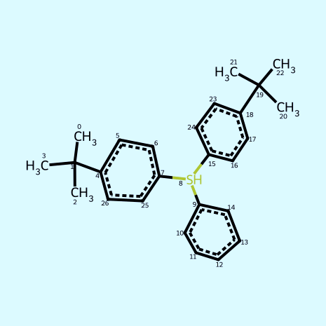 CC(C)(C)c1ccc([SH](c2ccccc2)c2ccc(C(C)(C)C)cc2)cc1